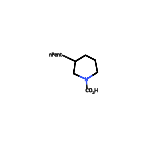 CCCCCC1CCCN(C(=O)O)C1